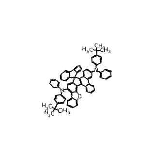 CC(C)(C)c1ccc(N(c2ccccc2)c2ccc3c4c(c5ccccc5c3c2)-c2c(cc(N(c3ccccc3)c3ccc(C(C)(C)C)cc3)c3c2oc2ccccc23)C42c3ccccc3-c3ccccc32)cc1